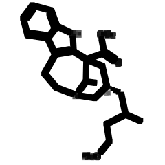 COCCC(C)C[C@@H]1CN2CCc3c([nH]c4ccccc34)C(C(=O)OC)(C1)C2C